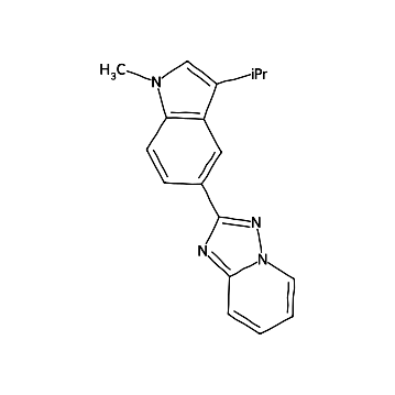 CC(C)c1cn(C)c2ccc(-c3nc4ccccn4n3)cc12